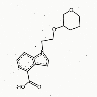 O=C(O)c1cccc2c1ccn2CCOC1CCCOC1